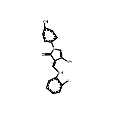 CCCC1=NN(c2ccc(C#N)cc2)C(=O)/C1=C/Nc1ccccc1CC